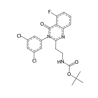 CC(C)(C)OC(=O)NCCc1nc2cccc(F)c2c(=O)n1-c1cc(Cl)cc(Cl)c1